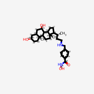 C[C@H](CCNCc1ccc(C(=O)NO)cc1)C1CCC2C3C(O)CC4C[C@H](O)CCC4(C)C3CCC21C